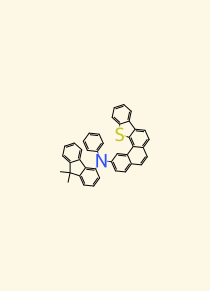 CC1(C)c2ccccc2-c2c(N(c3ccccc3)c3ccc4ccc5ccc6c7ccccc7sc6c5c4c3)cccc21